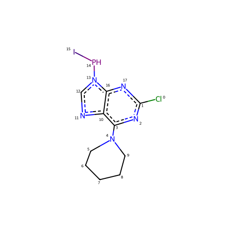 Clc1nc(N2CCCCC2)c2ncn(PI)c2n1